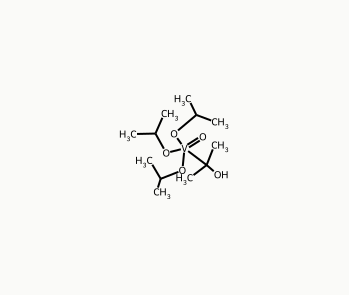 CC(C)[O][V](=[O])([O]C(C)C)([O]C(C)C)[C](C)(C)O